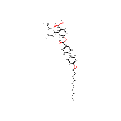 CCCCCCCCCCOc1ccc(-c2ccc(C(=O)Oc3ccc(C(=O)O)c(C(CCC)CCCC)c3)cc2)cc1